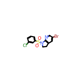 O=S(=O)(c1cccc(Cl)c1)N1CCc2cc(Br)cnc21